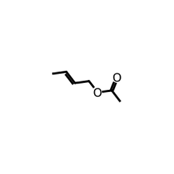 C/C=C/COC(C)=O